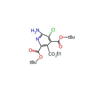 CCOC(=O)c1c(C(=O)OC(C)(C)C)nc(N)c(Cl)c1C(=O)OC(C)(C)C